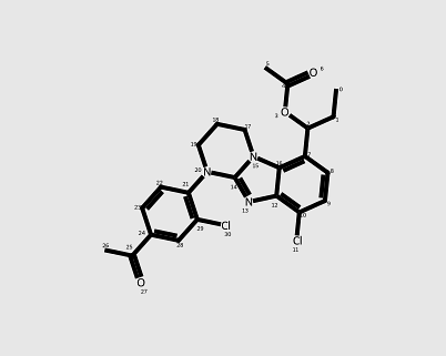 CCC(OC(C)=O)c1ccc(Cl)c2nc3n(c12)CCCN3c1ccc(C(C)=O)cc1Cl